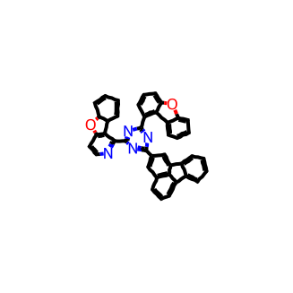 C1=CC2Oc3ccnc(-c4nc(-c5cc6c7c(cccc7c5)-c5ccccc5-6)nc(-c5cccc6oc7ccccc7c56)n4)c3C2C=C1